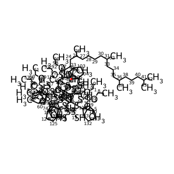 CCO[Si](OCC)(OCC)SS(SS)(C(=C(C)C(C(CC(C)CCCC(C)CCCCC(C)CCCC(C)CCCC(C)C)S(SS)(S[Si](OCC)(OCC)OCC)C1CC2CCC1C2)(S(SS)(S[Si](OCC)(OCC)OCC)C1CC2CCC1C2)S(SS)(S[Si](OCC)(OCC)OCC)C1CC2CCC1C2)S(SS)(S[Si](OCC)(OCC)OCC)C1CC2CCC1C2)C1CC2CCC1C2